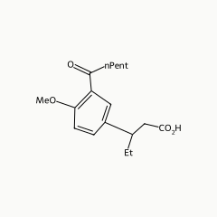 CCCCCC(=O)c1cc(C(CC)CC(=O)O)ccc1OC